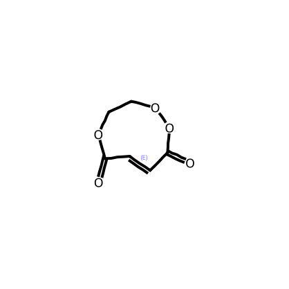 O=C1/C=C/C(=O)OOCCO1